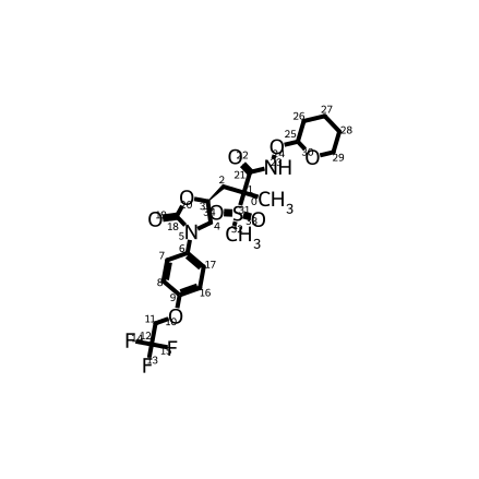 CC(C[C@H]1CN(c2ccc(OCC(F)(F)F)cc2)C(=O)O1)(C(=O)NOC1CCCCO1)S(C)(=O)=O